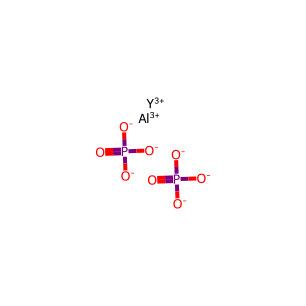 O=P([O-])([O-])[O-].O=P([O-])([O-])[O-].[Al+3].[Y+3]